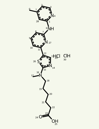 Cc1ccnc(Nc2cccc(-c3cnc(N(C)CCCCCC(=O)O)s3)n2)c1.Cl.Cl